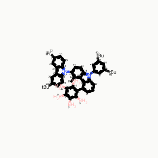 Bc1c(B)c(B)c(-c2cccc3c2c2c(C)c(-n4c5ccc(C(C)C)cc5c5cc(C(C)(C)C)ccc54)ccc2n3-c2cc(C(C)(C)C)cc(C(C)(C)C)c2)c(B)c1B